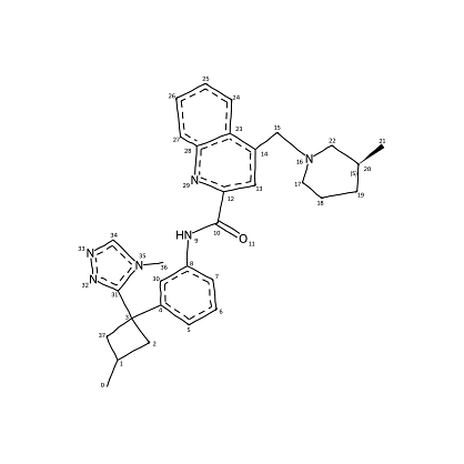 CC1CC(c2cccc(NC(=O)c3cc(CN4CCC[C@H](C)C4)c4ccccc4n3)c2)(c2nncn2C)C1